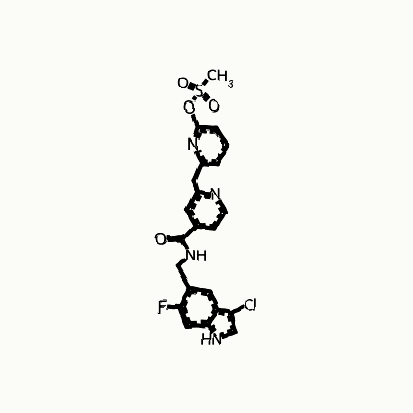 CS(=O)(=O)Oc1cccc(Cc2cc(C(=O)NCc3cc4c(Cl)c[nH]c4cc3F)ccn2)n1